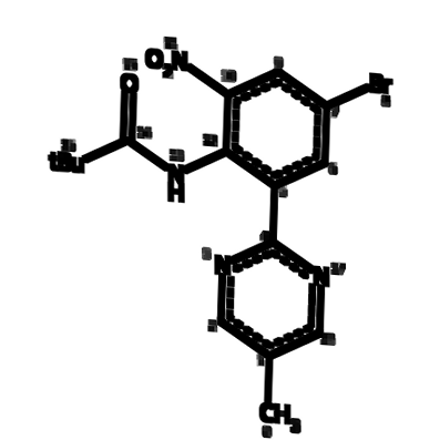 Cc1cnc(-c2cc(Br)cc([N+](=O)[O-])c2NC(=O)C(C)(C)C)nc1